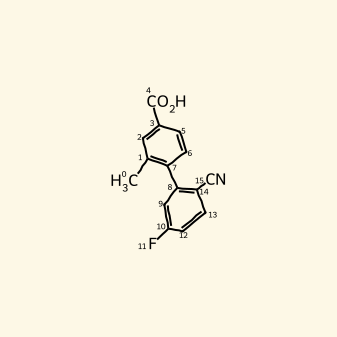 Cc1cc(C(=O)O)ccc1-c1cc(F)ccc1C#N